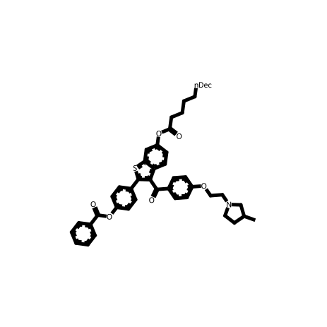 CCCCCCCCCCCCCCC(=O)Oc1ccc2c(C(=O)c3ccc(OCCN4CCC(C)C4)cc3)c(-c3ccc(OC(=O)c4ccccc4)cc3)sc2c1